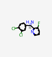 N[C@@H](c1ccc(Cl)c(Cl)c1)c1ncccc1F